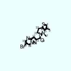 Cc1csc2c1N(C)N(C(=O)c1cc3ncc(Br)cn3n1)CC2